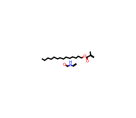 C=C(C)C(=O)OCCCCCCCCCCCCCC.C=CNC=O